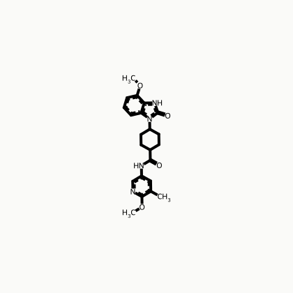 COc1ncc(NC(=O)C2CCC(n3c(=O)[nH]c4c(OC)cccc43)CC2)cc1C